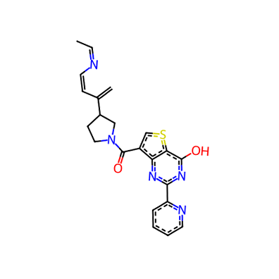 C=C(/C=C\N=C/C)C1CCN(C(=O)c2csc3c(O)nc(-c4ccccn4)nc23)C1